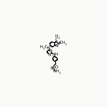 Cc1c2ccc(N(C)c3ccnc(Nc4ccc(CCS(N)(=O)=O)cc4)n3)cc2nn1C